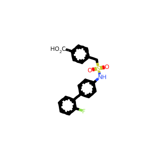 O=C(O)c1ccc(CS(=O)(=O)Nc2ccc(-c3ccccc3F)cc2)cc1